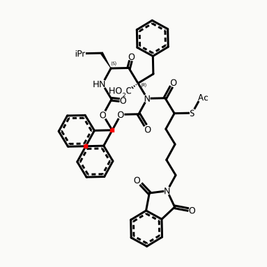 CC(=O)SC(CCCCN1C(=O)c2ccccc2C1=O)C(=O)N(C(=O)OCc1ccccc1)[C@@](Cc1ccccc1)(C(=O)O)C(=O)[C@H](CC(C)C)NC(=O)OCc1ccccc1